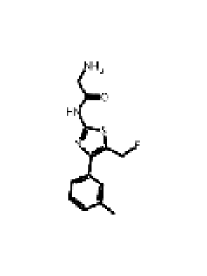 Cc1cccc(-c2nc(NC(=O)CN)sc2CF)c1